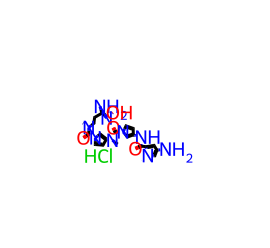 CN(CCC(N)=NO)C(=O)n1ccc(N(C)C(=O)n2ccc(NC(=O)c3cc(N)cn3C)c2)c1.Cl